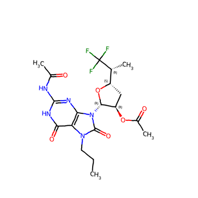 CCCn1c(=O)n([C@@H]2O[C@H]([C@@H](C)C(F)(F)F)C[C@H]2OC(C)=O)c2nc(NC(C)=O)[nH]c(=O)c21